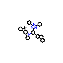 CC1(C)c2ccccc2-c2cc3c4ccccc4n(-c4cc(-c5ccc6c(ccc7ccccc76)c5)cc(-c5nc(-c6ccccc6)nc(-c6ccccc6)n5)c4)c3cc21